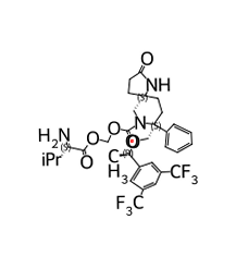 CC(C)[C@H](N)C(=O)OCOC(=O)N1C[C@@]2(CCC(=O)N2)CC[C@@]1(CO[C@H](C)c1cc(C(F)(F)F)cc(C(F)(F)F)c1)c1ccccc1